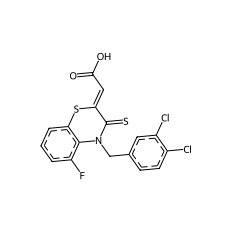 O=C(O)/C=C1\Sc2cccc(F)c2N(Cc2ccc(Cl)c(Cl)c2)C1=S